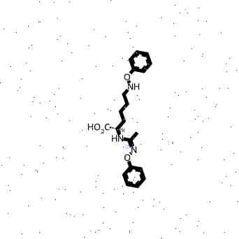 C/C(=N/Oc1ccccc1)N[C@@H](CCCCNOc1ccccc1)C(=O)O